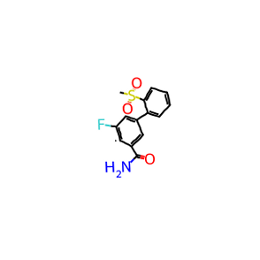 CS(=O)(=O)c1ccccc1-c1cc(F)[c]c(C(N)=O)c1